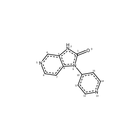 O=c1[nH]c2cnccc2n1-c1ccncc1